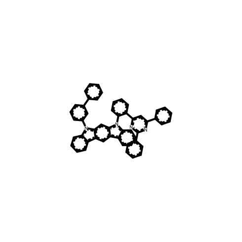 c1ccc(-c2cccc(-n3c4ccccc4c4cc5c6ccccc6n(-c6ccccc6-c6cc(-c7ccccc7)nc(-c7ccccc7)n6)c5cc43)c2)cc1